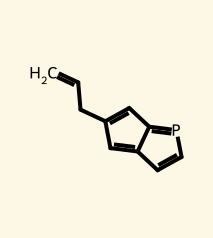 C=CCC1=CC2=PC=CC2=C1